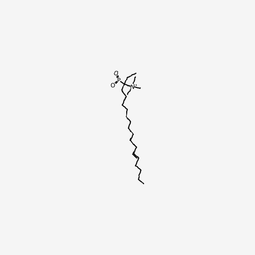 CCCCC=CCCCCCCCCCCC(CC)(P(=O)=O)[N+](C)(C)C